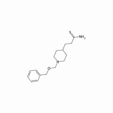 NC(=S)CCC1CCN(COCc2ccccc2)CC1